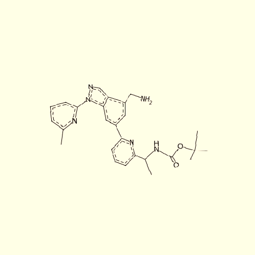 Cc1cccc(-n2ncc3c(CN)cc(-c4cccc(C(C)NC(=O)OC(C)(C)C)n4)cc32)n1